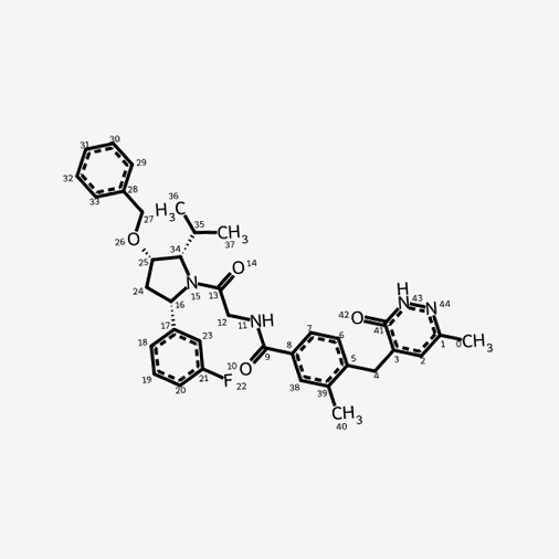 Cc1cc(Cc2ccc(C(=O)NCC(=O)N3[C@H](c4cccc(F)c4)C[C@H](OCc4ccccc4)[C@@H]3C(C)C)cc2C)c(=O)[nH]n1